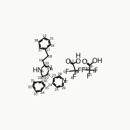 O=C(O)C(F)(F)F.O=C(O)C(F)(F)F.c1ccc(CCC2=N[C@H](c3cccnc3)[C@H](c3ccccc3)N2)cc1